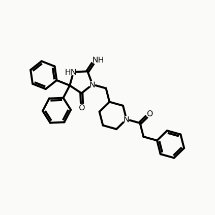 N=C1NC(c2ccccc2)(c2ccccc2)C(=O)N1CC1CCCN(C(=O)Cc2ccccc2)C1